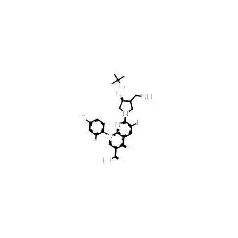 CC(C)(C)ON=C1CN(c2nc3c(cc2F)c(=O)c(C(=O)O)cn3-c2ccc(F)cc2F)CC1CN